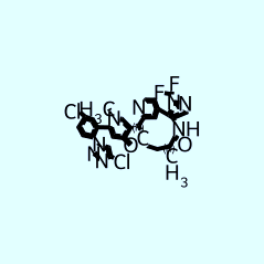 C[C@@H]1CCC[C@H](c2cn(C)c(-c3cc(Cl)ccc3-n3cc(Cl)nn3)cc2=O)c2cc(ccn2)-c2c(cnn2C(F)F)NC1=O